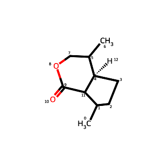 CC1CC[C@@H]2C(C)COC(=O)C12